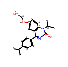 CC(C)c1ccc(-c2nc(=O)n(C(C)C)c3ccc(OCO)cc23)cc1